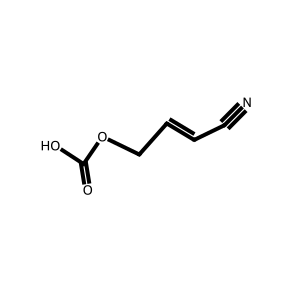 N#CC=CCOC(=O)O